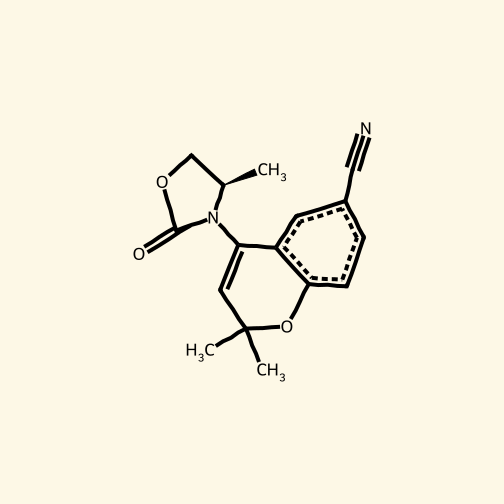 C[C@@H]1COC(=O)N1C1=CC(C)(C)Oc2ccc(C#N)cc21